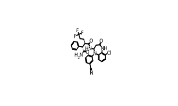 N#Cc1cccc(N2c3cccc(Cl)c3NC(=O)CC2NC(=O)[C@H](CCC(F)(F)F)[C@H](C(N)=O)c2ccccc2)c1